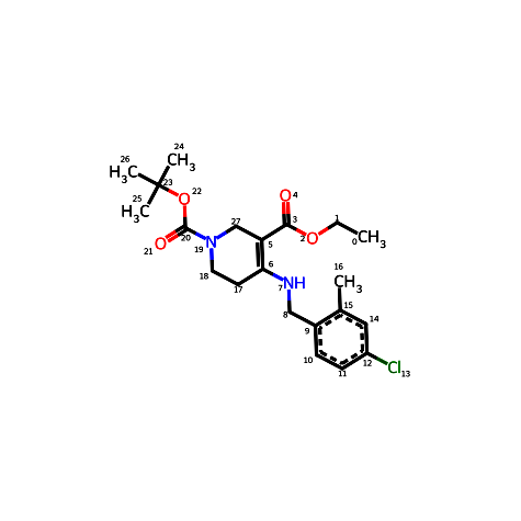 CCOC(=O)C1=C(NCc2ccc(Cl)cc2C)CCN(C(=O)OC(C)(C)C)C1